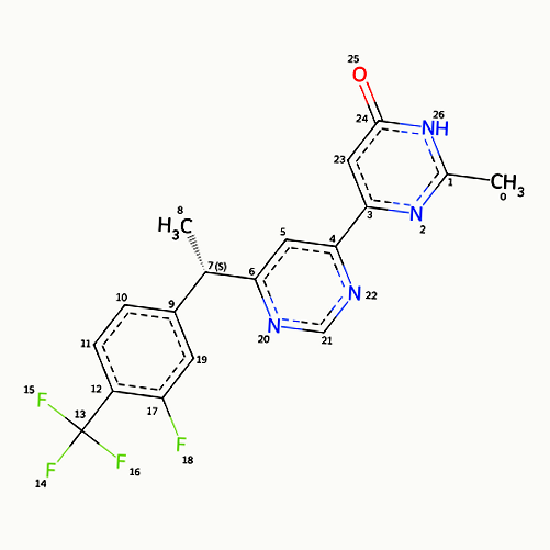 Cc1nc(-c2cc([C@@H](C)c3ccc(C(F)(F)F)c(F)c3)ncn2)cc(=O)[nH]1